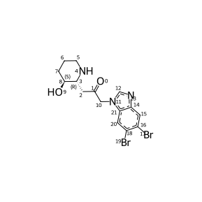 O=C(C[C@H]1NCCC[C@@H]1O)Cn1cnc2cc(Br)c(Br)cc21